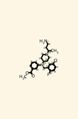 COC(=O)c1cccc(N(Cc2cc(Cl)ccc2F)C2CCN(C(C)CCN)CC2)c1